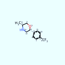 C[C@@H]1CO[C@H](c2ccc(C(F)(F)F)cc2)CN1